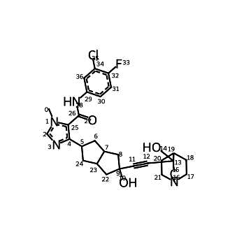 Cn1cnc(C2CC3CC(O)(C#CC4(O)CN5CCC4CC5)CC3C2)c1C(=O)Nc1ccc(F)c(Cl)c1